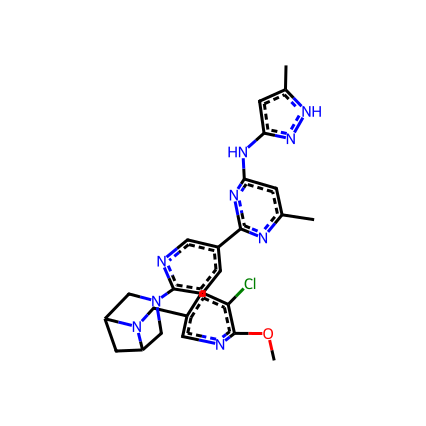 COc1ncc(CN2C3CC2CN(c2ccc(-c4nc(C)cc(Nc5cc(C)[nH]n5)n4)cn2)C3)cc1Cl